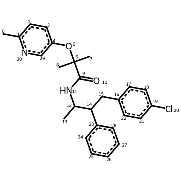 Cc1ccc(OC(C)(C)C(=O)NC(C)C(Cc2ccc(Cl)cc2)c2ccccc2)cn1